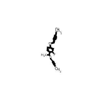 C=C(OCC#CC)c1ccc(OCC#CC)cc1F